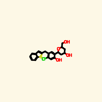 OCC1CC(O)CC(c2cc(Cc3cc4ccccc4s3)c(Cl)cc2O)O1